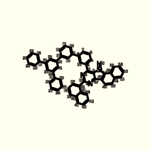 C[SiH]1c2c(-c3cccc(-c4cccc(-c5cc(-c6ccccc6)cc(-c6ccccc6)c5)c4)c3)nc(-c3cccc4ccccc34)nc2-c2ccc3ccccc3c21